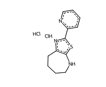 Cl.Cl.c1ccc(-c2nc3c(s2)NCCCC3)nc1